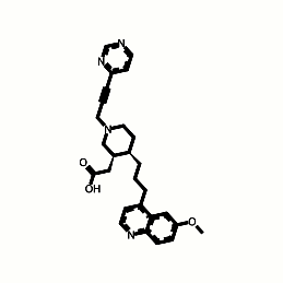 COc1ccc2nccc(CCC[C@@H]3CCN(CC#Cc4ccncn4)C[C@@H]3CC(=O)O)c2c1